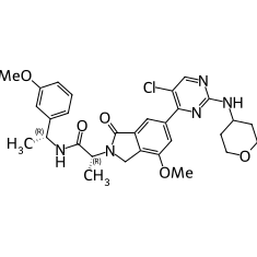 COc1cccc([C@@H](C)NC(=O)[C@@H](C)N2Cc3c(OC)cc(-c4nc(NC5CCOCC5)ncc4Cl)cc3C2=O)c1